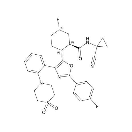 N#CC1(NC(=O)[C@@H]2C[C@@H](F)CC[C@H]2c2oc(-c3ccc(F)cc3)nc2-c2ccccc2N2CCS(=O)(=O)CC2)CC1